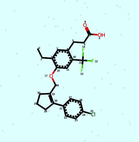 CCc1cc(CCC(=O)O)c(C(F)(F)F)cc1OCC1=C(c2ccc(Cl)cc2)CCC1